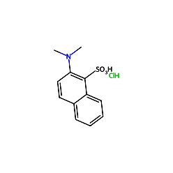 CN(C)c1ccc2ccccc2c1S(=O)(=O)O.Cl